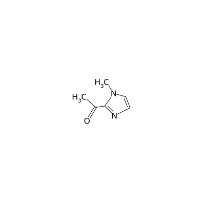 CC(=O)c1nccn1C